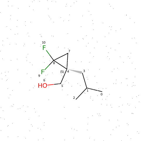 CC(C)C[C@@]1(CO)CC1(F)F